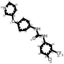 O=C(Nc1ccc(Oc2cccnc2)cc1)Nc1ccc(Cl)c(C(F)(F)F)c1